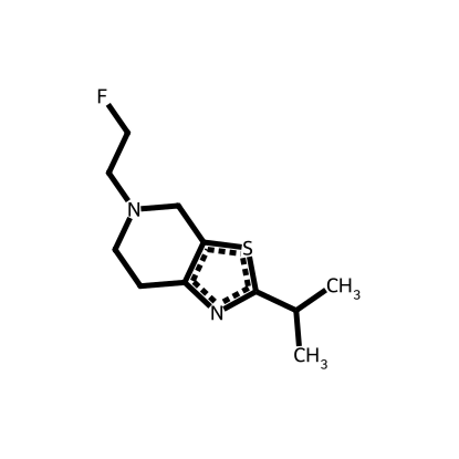 CC(C)c1nc2c(s1)CN(CCF)CC2